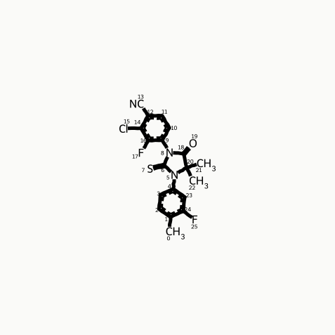 Cc1ccc(N2C(=S)N(c3ccc(C#N)c(Cl)c3F)C(=O)C2(C)C)cc1F